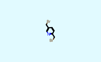 BrCc1ccc(CBr)nc1